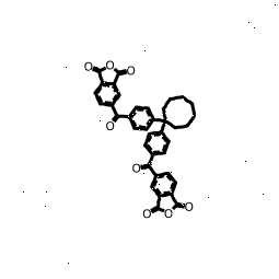 O=C(c1ccc(C2(c3ccc(C(=O)c4ccc5c(c4)C(=O)OC5=O)cc3)CCCCCCC2)cc1)c1ccc2c(c1)C(=O)OC2=O